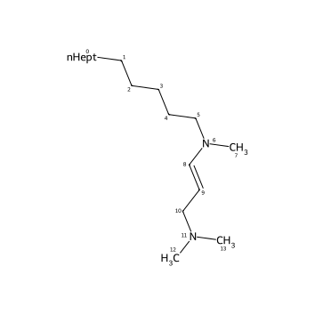 CCCCCCCCCCCCN(C)C=CCN(C)C